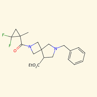 CCOC(=O)C1CN(Cc2ccccc2)CC12CN(C(=O)C1(C)CC1(F)F)C2